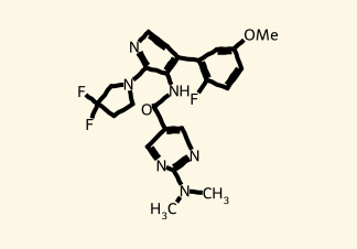 COc1ccc(F)c(-c2ccnc(N3CCC(F)(F)C3)c2NC(=O)c2cnc(N(C)C)nc2)c1